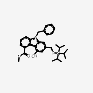 COC(=O)c1cccc2c1c1c(O)cc(CO[Si](C(C)C)(C(C)C)C(C)C)cc1n2Cc1ccccc1